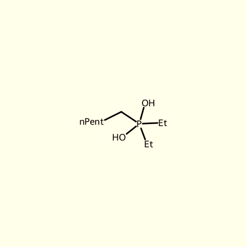 CCCCCCP(O)(O)(CC)CC